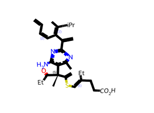 C=C/C=C\C(C(=C)c1nc(C)c([C@](C)(C(=C)S/C=C(\CC)CCC(=O)O)C(=O)CC)c(N)n1)=C(/C)C(C)C